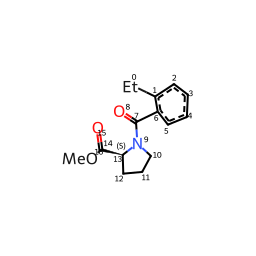 CCc1ccccc1C(=O)N1CCC[C@H]1C(=O)OC